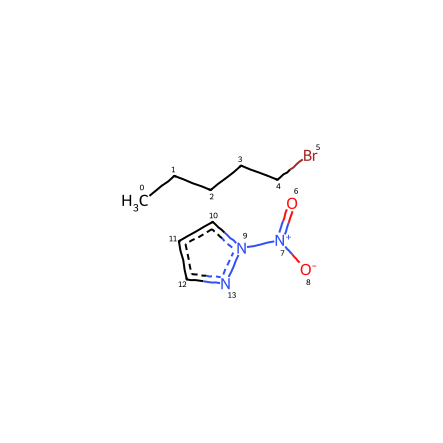 CCCCCBr.O=[N+]([O-])n1cccn1